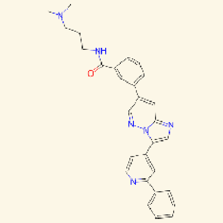 CN(C)CCCNC(=O)c1cccc(-c2cnn3c(-c4ccnc(-c5ccccc5)c4)cnc3c2)c1